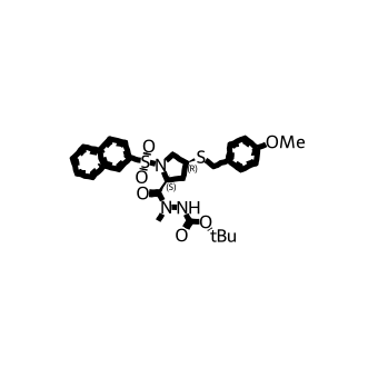 COc1ccc(CS[C@@H]2C[C@@H](C(=O)N(C)NC(=O)OC(C)(C)C)N(S(=O)(=O)c3ccc4ccccc4c3)C2)cc1